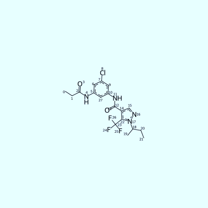 CCC(=O)Nc1cc(Cl)cc(NC(=O)c2cnn(C(C)CC)c2C(F)(F)F)c1